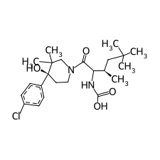 C[C@H](CC(C)(C)C)C(NC(=O)O)C(=O)N1CC[C@](O)(c2ccc(Cl)cc2)C(C)(C)C1